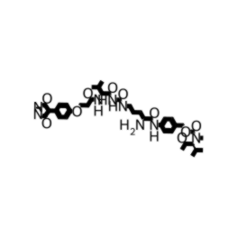 CC(=O)[C@H](C(C)C)N(C)C(=O)OCc1ccc(NC(=O)C(N)CCCNC(=O)NC(=O)[C@@H](NC(=O)CCOc2ccc(C3C(=O)N=NC3=O)cc2)C(C)C)cc1